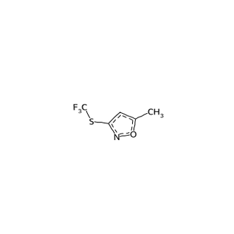 Cc1cc(SC(F)(F)F)no1